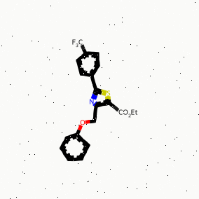 CCOC(=O)c1sc(-c2ccc(C(F)(F)F)cc2)nc1COc1ccccc1